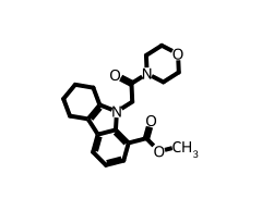 COC(=O)c1cccc2c3c(n(CC(=O)N4CCOCC4)c12)CCCC3